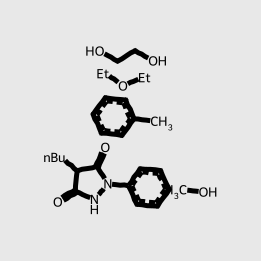 CCCCC1C(=O)NN(c2ccccc2)C1=O.CCOCC.CO.Cc1ccccc1.OCCO